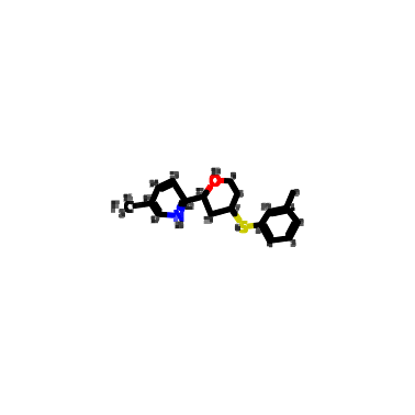 Cc1cccc(SC2CCOC(c3ccc(C(F)(F)F)cn3)C2)c1